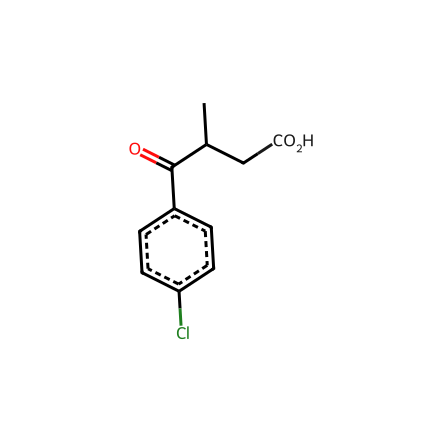 CC(CC(=O)O)C(=O)c1ccc(Cl)cc1